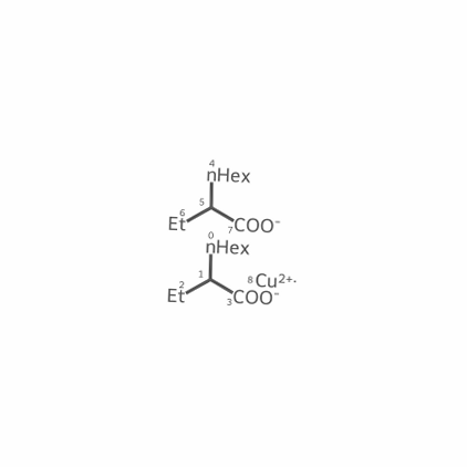 CCCCCCC(CC)C(=O)[O-].CCCCCCC(CC)C(=O)[O-].[Cu+2]